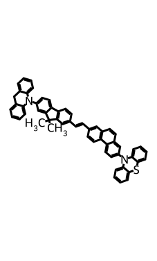 CC1(C)c2cc(/C=C/c3ccc4c(ccc5cc(N6c7ccccc7Sc7ccccc76)ccc54)c3)ccc2-c2ccc(N3c4ccccc4Cc4ccccc43)cc21